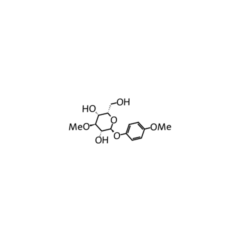 COc1ccc(O[C@@H]2O[C@@H](CO)[C@@H](O)[C@H](OC)[C@H]2O)cc1